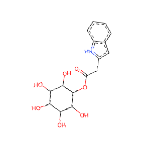 O=C(Cc1cc2ccccc2[nH]1)OC1C(O)C(O)C(O)C(O)C1O